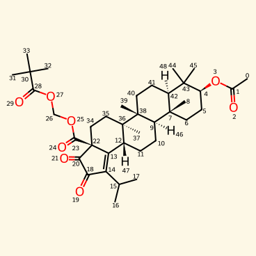 CC(=O)O[C@H]1CC[C@]2(C)[C@H]3CC[C@@H]4C5=C(C(C)C)C(=O)C(=O)[C@]5(C(=O)OCOC(=O)C(C)(C)C)CC[C@@]4(C)[C@]3(C)CC[C@H]2C1(C)C